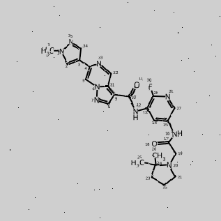 Cn1cc(-c2cn3ncc(C(=O)Nc4cc(NC(=O)CN5CCCC5(C)C)cnc4F)c3cn2)cn1